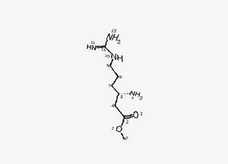 COC(=O)C[C@@H](N)CCCNC(=N)N